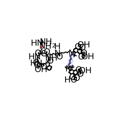 CC[N+]1=C(/C=C/C=C/C=C2/N(CCCCCC(=O)NCCCC[C@@H]3NC(=O)[C@@H](Cc4ccccc4)CC(=O)[C@H](CC(=O)O)NC(=O)CNC(=O)[C@H](CCCNC(=N)N)CC3=O)c3ccc4c(S(=O)(=O)O)cc(S(=O)(=O)O)cc4c3C2(C)C)C(C)(C)c2c1ccc1c(S(=O)(=O)O)cc(S(=O)(=O)O)cc21